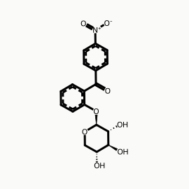 O=C(c1ccc([N+](=O)[O-])cc1)c1ccccc1O[C@@H]1OC[C@@H](O)[C@H](O)[C@H]1O